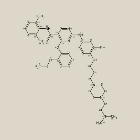 CCOc1ccccc1Oc1nc(Nc2ccc(OCCCN3CCN(CCN(C)C)CC3)c(F)c2)ncc1C(=O)Nc1c(C)cccc1C